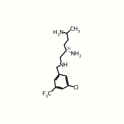 CC(N)CC[C@H](N)CNCc1cc(Cl)cc(C(F)(F)F)c1